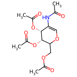 CC(=O)NC1=COC(COC(C)=O)[C@H](OC(C)=O)[C@@H]1OC(C)=O